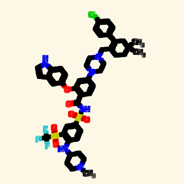 CN1CCC(Nc2ccc(S(=O)(=O)NC(=O)c3ccc(N4CCN(CC5=C(c6ccc(Cl)cc6)CC(C)(C)CC5)CC4)cc3Oc3ccc4[nH]ccc4c3)cc2S(=O)(=O)C(F)(F)F)CC1